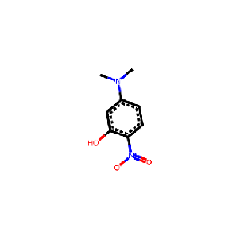 CN(C)c1ccc([N+](=O)[O-])c(O)c1